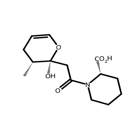 C[C@@H]1CC=CO[C@@]1(O)CC(=O)N1CCCC[C@H]1C(=O)O